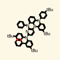 CC(C)(C)c1ccc(N(c2ccc3c(n2)N(c2ccccc2)c2cccc4c2B3c2cc(C(C)(C)C)ccc2N4c2ccc(C(C)(C)C)cc2)c2ccc(C(C)(C)C)cc2-c2ccccc2)cc1